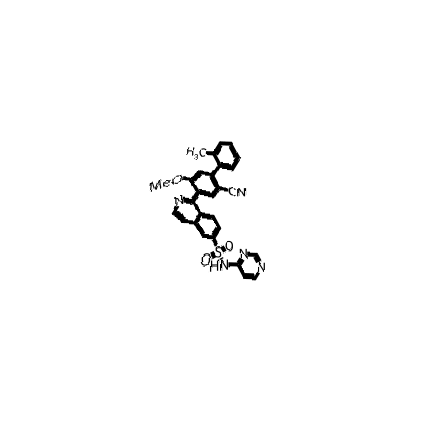 COc1cc(-c2ccccc2C)c(C#N)cc1-c1nccc2cc(S(=O)(=O)Nc3ccncn3)ccc12